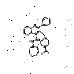 CC(C)N1CCN(Cc2c(-c3ccccc3)nc3ccccc3c2C(=O)NN2CCCCCC2)CC1